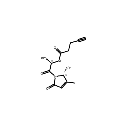 C#CCCC(=O)N[C@H](CCC)C(=O)N1C(=O)C=C(C)[C@H]1CCC